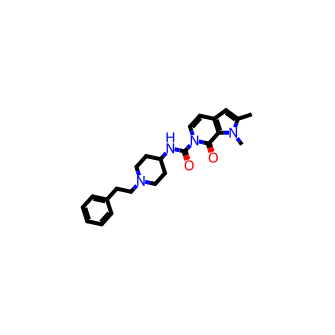 Cc1cc2ccn(C(=O)NC3CCN(CCc4ccccc4)CC3)c(=O)c2n1C